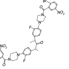 CC(C(=O)C(C)c1ccc(N2CCN(C(=O)c3cc([N+](=O)[O-])ccc3Br)CC2)c(F)c1)c1ccc(N2CCN(C(=O)c3cc([N+](=O)[O-])ccc3Br)CC2)c(F)c1